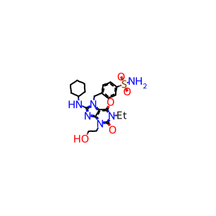 CCn1c(=O)c2c(nc(NC3CCCCC3)n2Cc2ccc(S(N)(=O)=O)cc2)n(CCO)c1=O